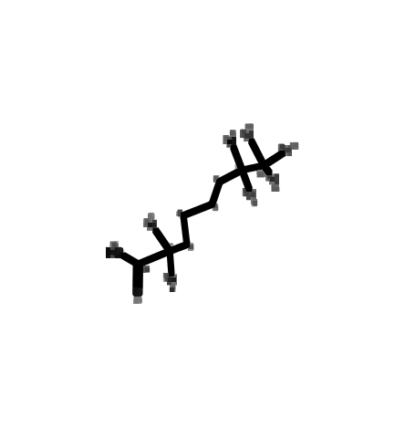 [3H]C([3H])(CCCCC([3H])([3H])C([3H])([3H])[3H])C(=O)O